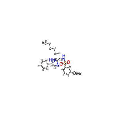 COc1cccc(S(=O)(=O)N[C@@H](CCCCCC(C)=O)c2ncc(-c3ccccc3)[nH]2)c1